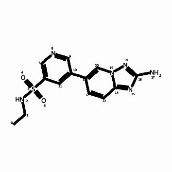 CCNS(=O)(=O)c1cncc(-c2ccc3nc(N)nn3c2)c1